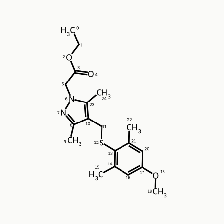 CCOC(=O)Cn1nc(C)c(CSc2c(C)cc(OC)cc2C)c1C